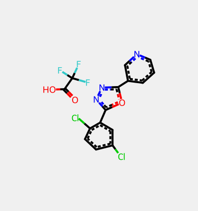 Clc1ccc(Cl)c(-c2nnc(-c3cccnc3)o2)c1.O=C(O)C(F)(F)F